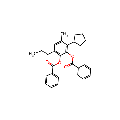 CCCc1cc(C)c(C2CCCC2)c(OC(=O)c2ccccc2)c1OC(=O)c1ccccc1